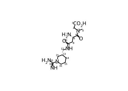 CN(CC(=O)O)C(=O)[C@@H](N)CC(=O)NC[C@@H]1CCCN(C(=N)N)C1